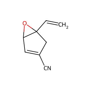 C=CC12CC(C#N)=CC1O2